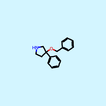 c1ccc(COC2(c3ccccc3)CCNC2)cc1